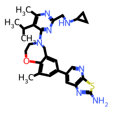 Cc1cc(-c2cnc3sc(N)nc3c2)cc2c1OCCN(c1nc(CNC3CC3)nc(C)c1C(C)C)C2